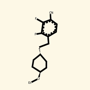 CCO[C@H]1CC[C@H](CCc2ccc(C#N)c(F)c2F)CC1